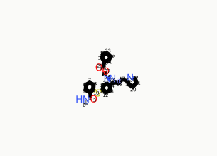 CNC(=O)c1ccccc1Sc1ccc2c(/C=C/c3ccccn3)nn(COC(=O)c3ccccc3)c2c1